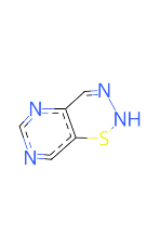 C1=NNSc2cncnc21